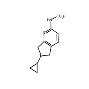 O=C(O)Nc1ccc2c(n1)CN(C1CC1)C2